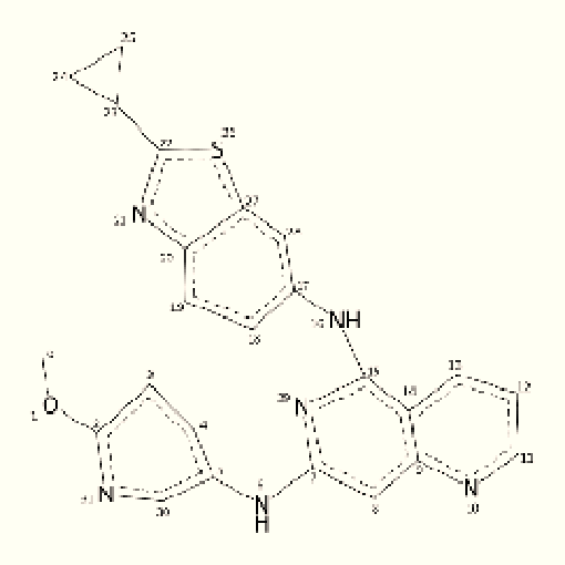 COc1ccc(Nc2cc3ncccc3c(Nc3ccc4nc(C5CC5)sc4c3)n2)cn1